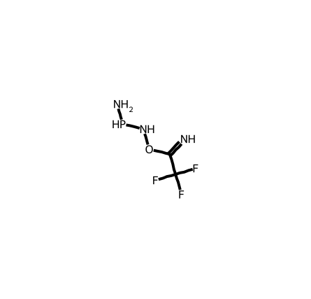 N=C(ONPN)C(F)(F)F